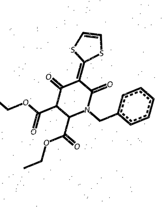 CCOC(=O)C1C(=O)C(=C2SC=CS2)C(=O)N(Cc2ccccc2)C1C(=O)OCC